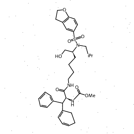 COC(=O)N[C@H](C(=O)NCCCC[C@@H](CO)N(CC(C)C)S(=O)(=O)c1ccc2c(c1)CCO2)C(C1=CC=CCC1)c1ccccc1